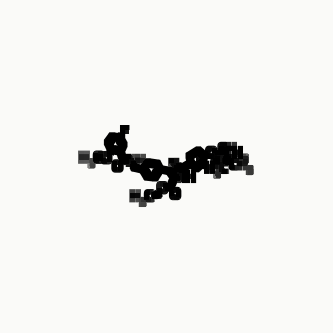 CCOC(=O)c1[nH]c(C2CCC(O[Si](C)(C)C(C)(C)C)CC2)nc1-c1ccc(CNC(=O)c2cc(F)ccc2OC)cc1